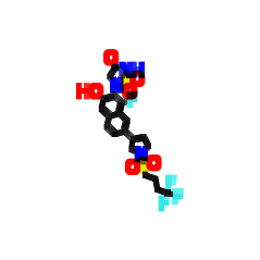 O=C1CN(c2c(O)cc3ccc(C4=CCN(S(=O)(=O)CCCC(F)(F)F)C4)cc3c2F)S(=O)(=O)N1